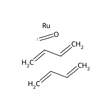 C=CC=C.C=CC=C.[C]=O.[Ru]